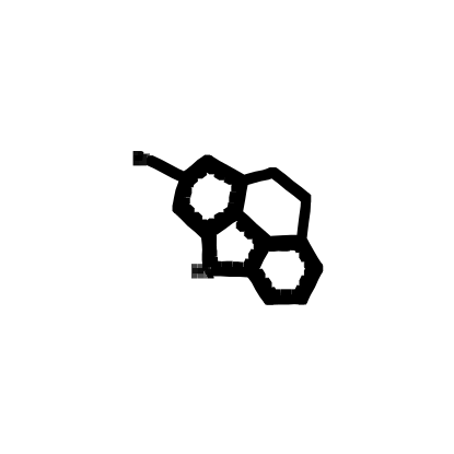 Brc1cc2c3c(c1)[nH]c1cccc(c13)CC2